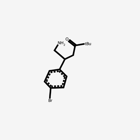 CC(C)(C)C(=O)CC(CN)c1ccc(Br)cc1